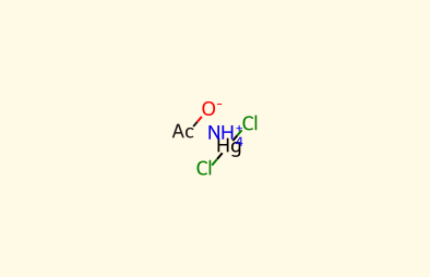 CC(=O)[O-].[Cl][Hg][Cl].[NH4+]